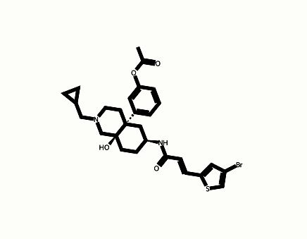 CC(=O)Oc1cccc([C@@]23CCN(CC4CC4)C[C@@]2(O)CC[C@H](NC(=O)C=Cc2cc(Br)cs2)C3)c1